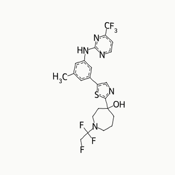 Cc1cc(Nc2nccc(C(F)(F)F)n2)cc(-c2cnc(C3(O)CCCN(C(F)(F)CF)CC3)s2)c1